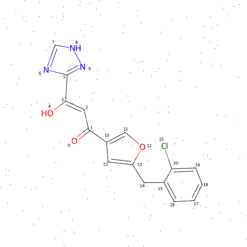 O=C(C=C(O)c1nc[nH]n1)c1coc(Cc2ccccc2Cl)c1